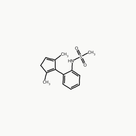 CC1=CCC(C)=C1c1ccccc1NS(C)(=O)=O